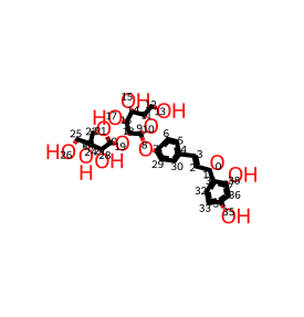 O=C(C=Cc1ccc(OC2OC(CO)C(O)C(O)C2OC2OC[C@](O)(CO)C2O)cc1)c1ccc(O)cc1O